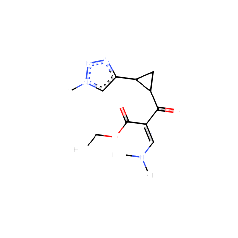 CCOC(=O)/C(=C\N(C)C)C(=O)C1CC1c1cn(C)nn1